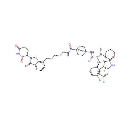 CCN1[C@@H](C(=O)NC23CCC(C(=O)NCCCCCc4cccc5c4CN(C4CCC(=O)NC4=O)C5=O)(CC2)CC3)[C@H](c2cccc(Cl)c2F)[C@]2(C(=O)Nc3cc(Cl)ccc32)C12CCCCC2